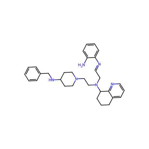 Nc1ccccc1/N=C/CN(CCN1CCC(NCc2ccccc2)CC1)C1CCCc2cccnc21